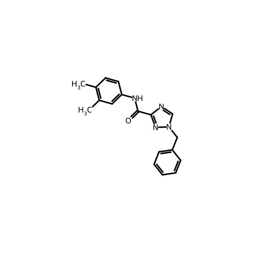 Cc1ccc(NC(=O)c2ncn(Cc3ccccc3)n2)cc1C